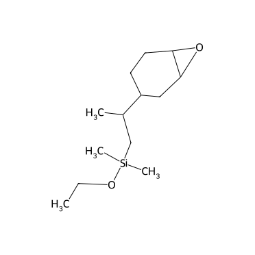 CCO[Si](C)(C)CC(C)C1CCC2OC2C1